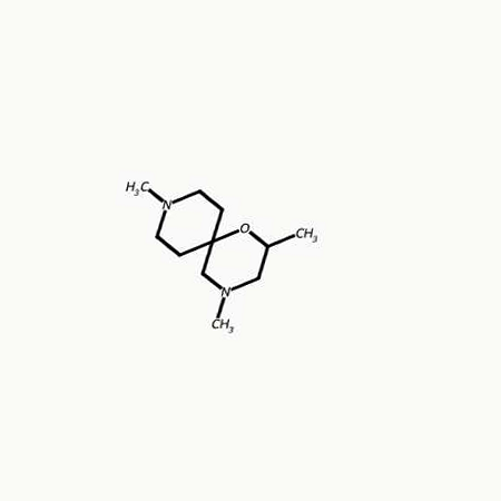 CC1CN(C)CC2(CCN(C)CC2)O1